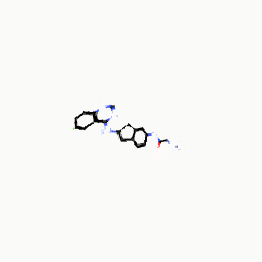 CCN(CC)CC(=O)Nc1ccc2c(c1)CC(Nc1ncnc3ccc(F)cc13)C2